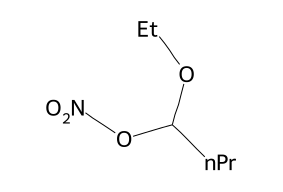 CCCC(OCC)O[N+](=O)[O-]